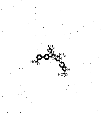 Cc1ccn(-c2cc(-c3cccc(C(=O)O)c3)ccc2C(Oc2cc(N3CCC4(CC3)CN[C@H](C(=O)O)C4)nc(N)n2)C(F)(F)F)n1